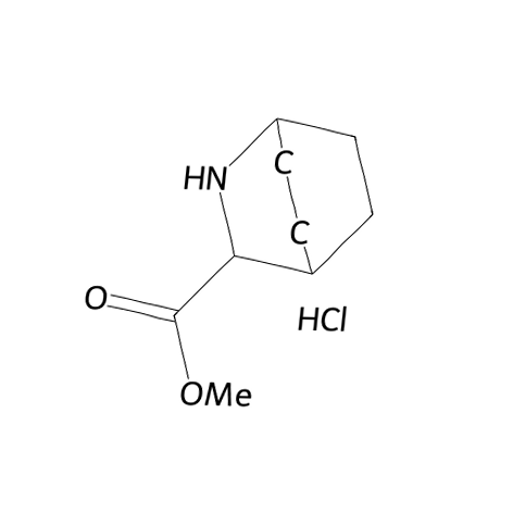 COC(=O)C1NC2CCC1CC2.Cl